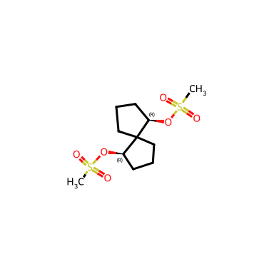 CS(=O)(=O)O[C@@H]1CCCC12CCC[C@H]2OS(C)(=O)=O